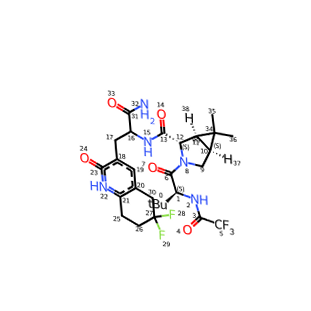 CC(C)(C)[C@H](NC(=O)C(F)(F)F)C(=O)N1C[C@H]2[C@@H]([C@H]1C(=O)NC(Cc1cc3c([nH]c1=O)CCC(F)(F)C3)C(N)=O)C2(C)C